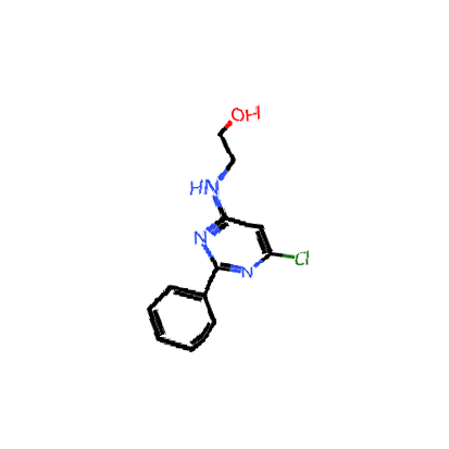 OCCNc1cc(Cl)nc(-c2ccccc2)n1